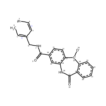 C/C=C(\C=C/C(C)C)CNC(=O)c1ccc2c(c1)NC(=O)c1ccccc1[S+]2[O-]